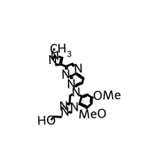 COc1cc(OC)cc(N(Cc2ncn(CCO)n2)c2ccc3ncc(-c4cnn(C)c4)nc3n2)c1